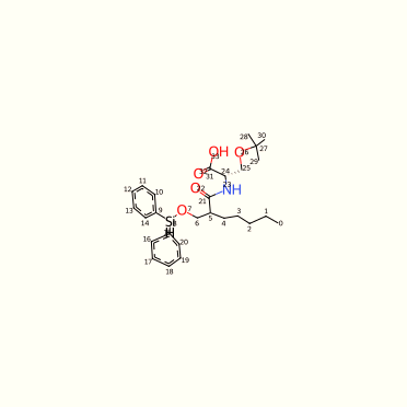 CCCCCC(CO[SiH](c1ccccc1)c1ccccc1)C(=O)N[C@@H](COC(C)(C)C)C(=O)O